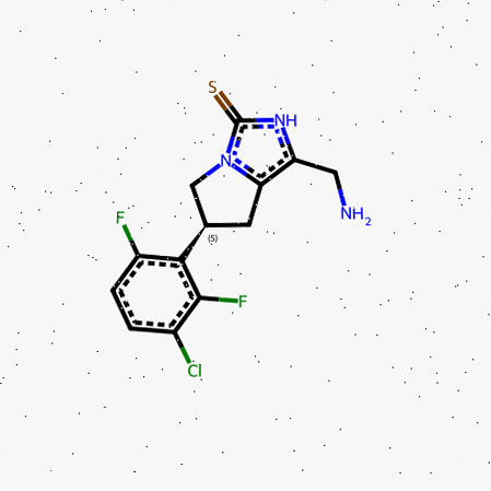 NCc1[nH]c(=S)n2c1C[C@@H](c1c(F)ccc(Cl)c1F)C2